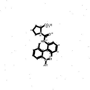 CCN(CC)c1cccc(C)c1-c1c(C)cccc1NC(=O)N1CCCC1C(=O)O